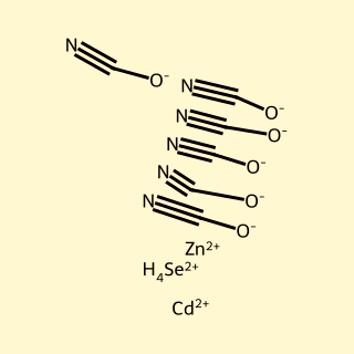 N#C[O-].N#C[O-].N#C[O-].N#C[O-].N#C[O-].N#C[O-].[Cd+2].[SeH4+2].[Zn+2]